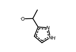 CC([O])c1cc[nH]n1